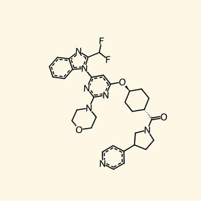 O=C([C@H]1CC[C@H](Oc2cc(-n3c(C(F)F)nc4ccccc43)nc(N3CCOCC3)n2)CC1)N1CCC(c2ccncc2)C1